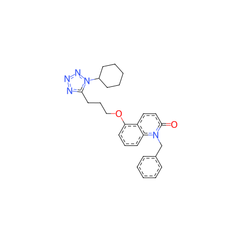 O=c1ccc2c(OCCCc3nnnn3C3CCCCC3)cccc2n1Cc1ccccc1